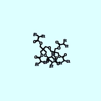 CCC(CC)C(=O)OCC(COCC(COC(=O)C(CC)CC)(COC(=O)C(CC)CC)COC(=O)C(CC)CC)(COC(=O)C(CC)CC)COC(=O)C(CC)CC